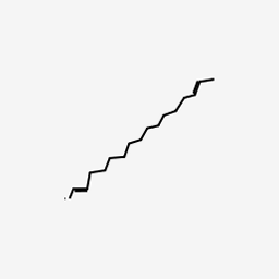 [CH2]C=CCCCCCCCCCCCC=CC